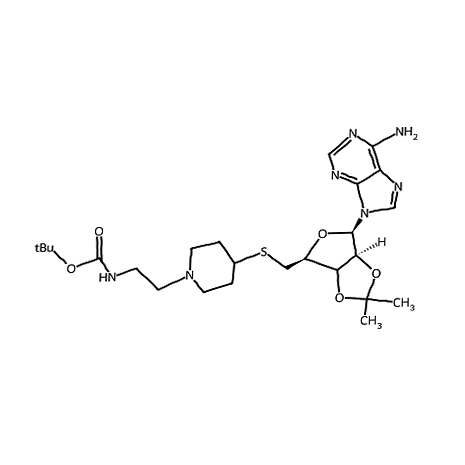 CC(C)(C)OC(=O)NCCN1CCC(SC[C@H]2O[C@@H](n3cnc4c(N)ncnc43)[C@H]3OC(C)(C)OC23)CC1